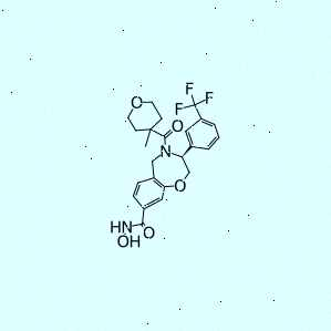 CC1(C(=O)N2Cc3ccc(C(=O)NO)cc3OC[C@@H]2c2cccc(C(F)(F)F)c2)CCOCC1